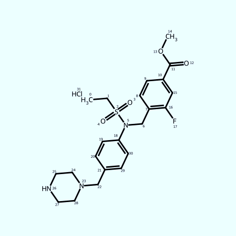 CCS(=O)(=O)N(Cc1ccc(C(=O)OC)cc1F)c1ccc(CN2CCNCC2)cc1.Cl